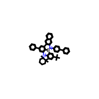 CC(C)(C)c1cc2c3c(c1)C1(C)CCCCC1(C)N3c1cc(-c3ccccc3)cc3c1B2N(c1ccc(-c2ccccc2)cc1)c1cc2ccccc2cc1-3